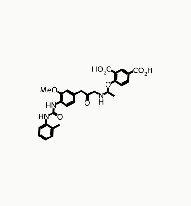 COc1cc(CC(=O)CNC(C)Oc2ccc(C(=O)O)cc2C(=O)O)ccc1NC(=O)Nc1ccccc1C